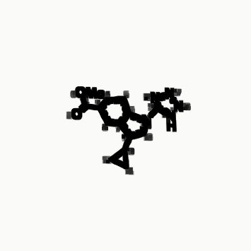 COC(=O)c1ccc2c(c1)c(C1CC1)cn2-c1nnn[nH]1